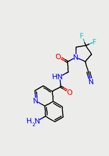 N#CC1CC(F)(F)CN1C(=O)CNC(=O)c1ccnc2c(N)cccc12